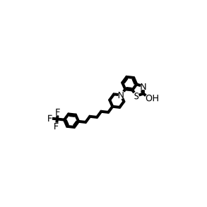 Oc1nc2cccc(N3CCC(CCCCCc4ccc(C(F)(F)F)cc4)CC3)c2s1